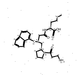 CSCC[C@H](NC(=O)CN(Cc1cccc2ccccc12)C[C@@H]1CCCN1C(=O)CCN)C(=O)O